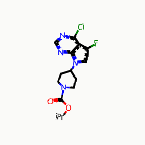 CC(C)OC(=O)N1CCC(n2cc(F)c3c(Cl)ncnc32)CC1